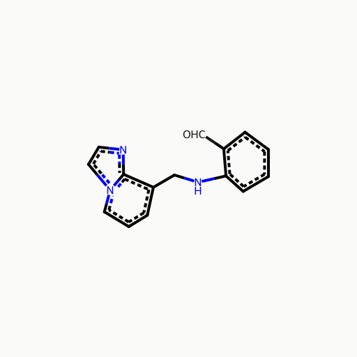 O=Cc1ccccc1NCc1cccn2ccnc12